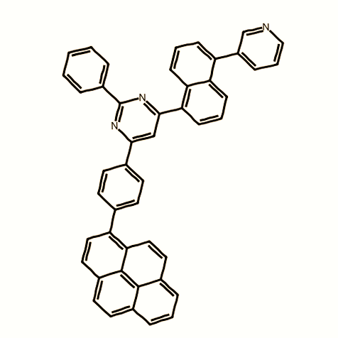 c1ccc(-c2nc(-c3ccc(-c4ccc5ccc6cccc7ccc4c5c67)cc3)cc(-c3cccc4c(-c5cccnc5)cccc34)n2)cc1